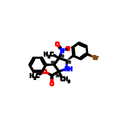 COC(=O)[C@@]1(C)N[C@@H](c2cccc(Br)c2)[C@@](C)([N+](=O)[O-])[C@@H]1c1ccccc1